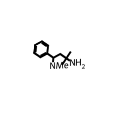 CNC(CC(C)(C)N)c1ccccc1